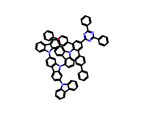 c1ccc(-c2ccc(-c3cc(-c4nc(-c5ccccc5)nc(-c5ccccc5)n4)cc(-c4ccc(-c5ccccc5)cc4)c3-n3c4ccccc4c4c(-n5c6cc(-n7c8ccccc8c8ccccc87)ccc6c6ccc(-n7c8ccccc8c8ccccc87)cc65)cccc43)cc2)cc1